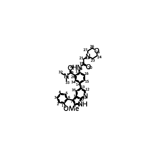 COc1ccccc1-c1c[nH]c2ncc(-c3ccc(NC(=O)CN4CCOCC4)c(C(=O)N(C)C)c3)cc12